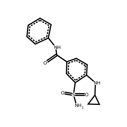 NS(=O)(=O)c1cc(C(=O)Nc2ccccc2)ccc1NC1CC1